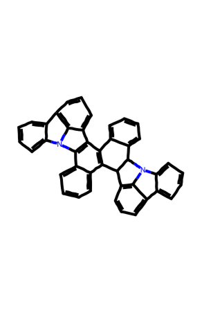 c1ccc2c(c1)-c1c(c3ccccc3c3c1c1cccc4c5ccccc5n3c41)C1c3cccc4c5ccccc5n(c34)C21